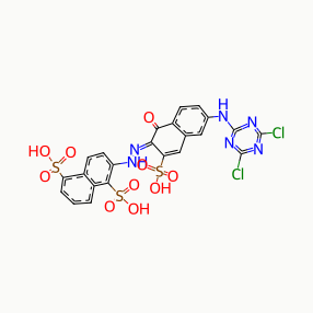 O=C1/C(=N/Nc2ccc3c(S(=O)(=O)O)cccc3c2S(=O)(=O)O)C(S(=O)(=O)O)=Cc2cc(Nc3nc(Cl)nc(Cl)n3)ccc21